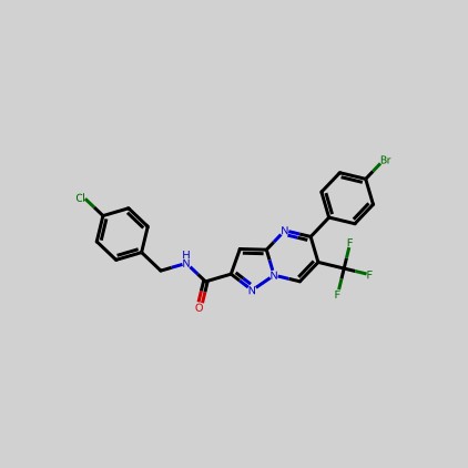 O=C(NCc1ccc(Cl)cc1)c1cc2nc(-c3ccc(Br)cc3)c(C(F)(F)F)cn2n1